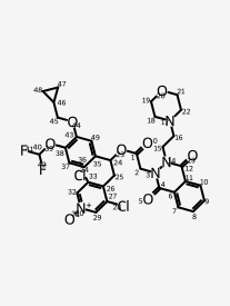 O=C(Cn1c(=O)c2ccccc2c(=O)n1CCN1CCOCC1)OC(Cc1c(Cl)c[n+]([O-])cc1Cl)c1ccc(OC(F)F)c(OCC2CC2)c1